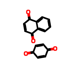 O=C1C=CC(=O)C=C1.O=C1C=CC(=O)c2ccccc21